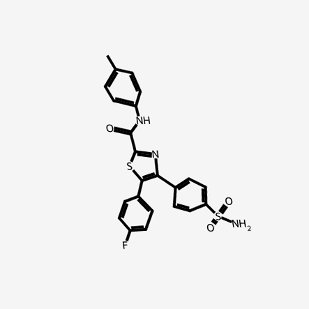 Cc1ccc(NC(=O)c2nc(-c3ccc(S(N)(=O)=O)cc3)c(-c3ccc(F)cc3)s2)cc1